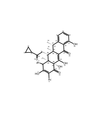 CC(=O)C1=C(O)C(C(C)C)[C@@]2(C)[C@H](CC(=O)C3CC3)[C@]3(C)C(=C(O)[C@@]2(O)C1=O)C(=O)c1c(O)cccc1[C@H]3C